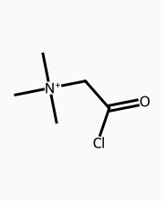 C[N+](C)(C)CC(=O)Cl